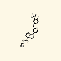 O=C(NCCO)c1cccc2c1CCN2c1ccnc(Cc2ccc(F)c(C(F)(F)F)c2)c1